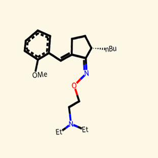 CCCC[C@H]1CCC(=Cc2ccccc2OC)C1=NOCCN(CC)CC